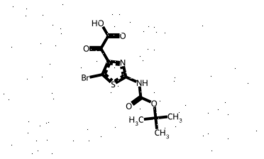 CC(C)(C)OC(=O)Nc1nc(C(=O)C(=O)O)c(Br)s1